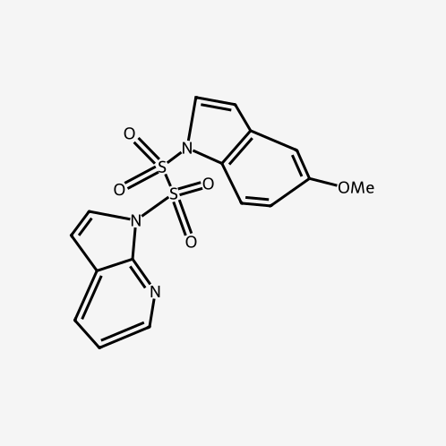 COc1ccc2c(ccn2S(=O)(=O)S(=O)(=O)n2ccc3cccnc32)c1